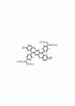 CCCCCCC(CCCCCC)c1ccc(C2=c3cc4c(cc3Sc3ccc(Br)cc32)=C(c2ccc(C(CCCCCC)CCCCCC)cc2)c2cc(Br)ccc2S4)cc1